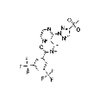 CC(NC(=O)c1cc(C(F)(F)F)cc(C(F)(F)F)c1)c1nccnc1-n1ncc(S(C)(=O)=O)n1